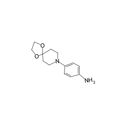 Nc1ccc(N2CCC3(CC2)OCCO3)cc1